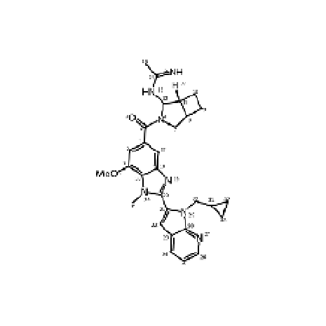 COc1cc(C(=O)N2CC3CC[C@H]3C2NC(C)=N)cc2nc(-c3cc4cccnc4n3CC3CC3)n(C)c12